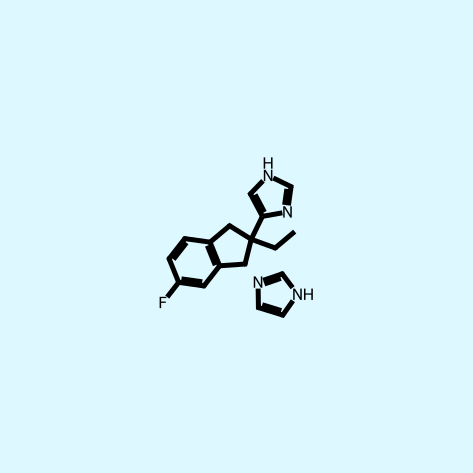 CCC1(c2c[nH]cn2)Cc2ccc(F)cc2C1.c1c[nH]cn1